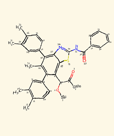 COC(=O)C(OC(C)(C)C)c1c(-c2ccc(C)c(C)c2)c(C)c(-c2ccc(C)c(C)c2)c2nc(NC(=O)c3ccccc3)sc12